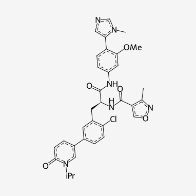 COc1cc(NC(=O)[C@H](Cc2cc(-c3ccc(=O)n(C(C)C)c3)ccc2Cl)NC(=O)c2conc2C)ccc1-c1cncn1C